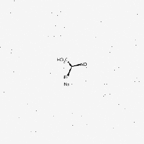 CC(C)[C@H](N=O)C(=O)O.[Na]